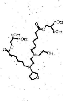 CCCCCCCCC(CCCCCCCC)COC(=O)CCCCCN(CCO)CCN(CCCCCC(=O)OCC(CCCCCCCC)CCCCCCCC)C1CCOC1